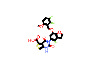 COc1ccc(F)c(F)c1COc1cc(-n2c(=O)[nH]c3csc(C(=O)O)c3c2=O)c(F)c2c1OCC2